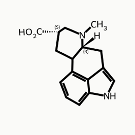 CN1C[C@@H](C(=O)O)CC2c3cccc4[nH]cc(c34)C[C@H]21